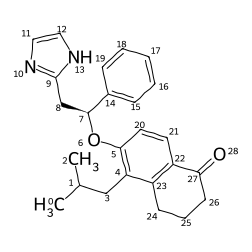 CC(C)Cc1c(O[C@@H](Cc2ncc[nH]2)c2ccccc2)ccc2c1CCCC2=O